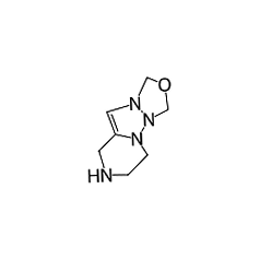 C1=C2CNCCN2N2COCN12